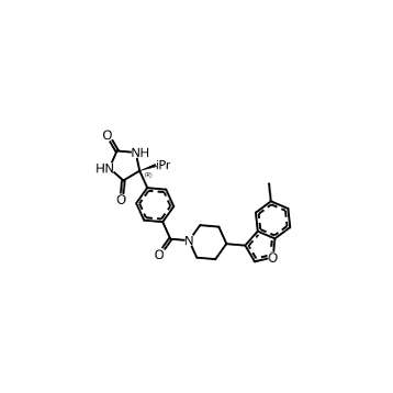 Cc1ccc2occ(C3CCN(C(=O)c4ccc([C@@]5(C(C)C)NC(=O)NC5=O)cc4)CC3)c2c1